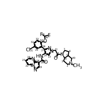 CN1CCC2C(CCN2C(=O)Cn2cc(NC(=O)c3cnn4cccnc34)c(-c3cc(Cl)ccc3OC(F)F)n2)C1